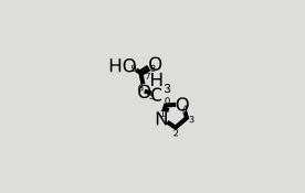 C1=NCCO1.COC(=O)O